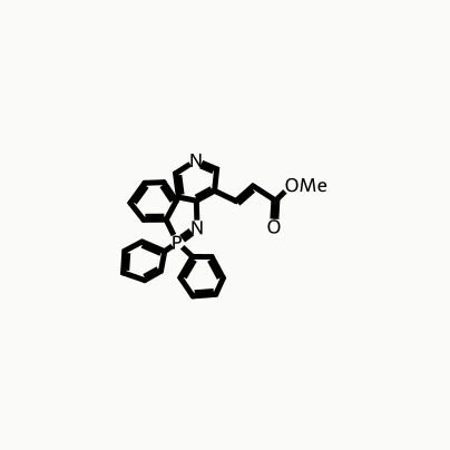 COC(=O)/C=C/c1cnccc1N=P(c1ccccc1)(c1ccccc1)c1ccccc1